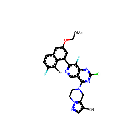 CCc1c(F)ccc2cc(OCOC)cc(-c3ncc4c(N5CCn6ncc(C#N)c6C5)nc(Cl)nc4c3F)c12